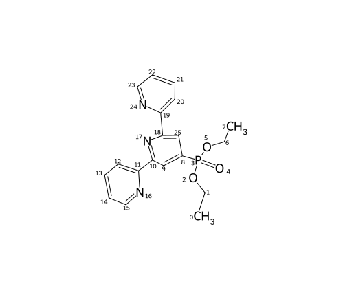 CCOP(=O)(OCC)c1cc(-c2ccccn2)nc(-c2ccccn2)c1